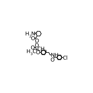 CC(C)(Oc1ccc(CCNC(=O)c2ccc(Cl)cc2)cc1)C(=O)OCOC(=O)C1CCCC[C@H]1N